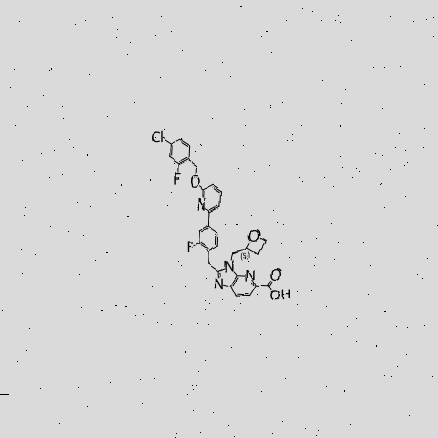 O=C(O)c1ccc2nc(Cc3ccc(-c4cccc(OCc5ccc(Cl)cc5F)n4)cc3F)n(C[C@@H]3CCO3)c2n1